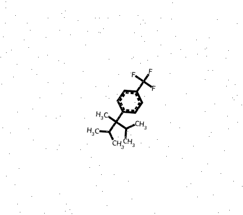 CC(C)C(C)(c1ccc(C(F)(F)F)cc1)C(C)C